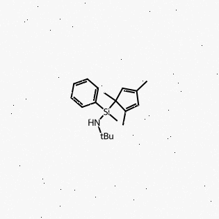 CC1=CC(C)([Si](C)(NC(C)(C)C)c2ccccc2)C(C)=C1